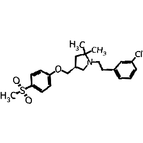 CC1(C)C[C@H](COc2ccc(S(C)(=O)=O)cc2)CN1CCc1cccc(Cl)c1